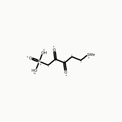 CSCCC(=O)C(=O)CP(=O)(O)O